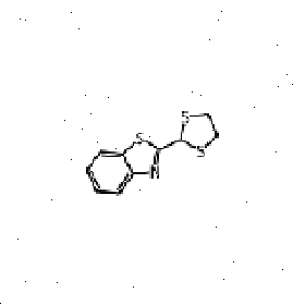 c1ccc2sc(C3SCCS3)nc2c1